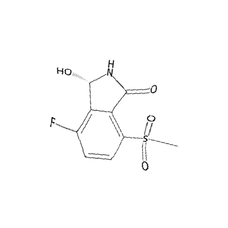 CS(=O)(=O)c1ccc(F)c2c1C(=O)N[C@H]2O